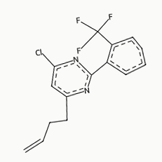 C=CCCc1cc(Cl)nc(-c2ccccc2C(F)(F)F)n1